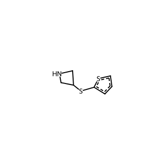 c1csc(SC2CNC2)c1